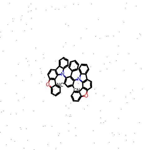 N#Cc1cc(C#N)c(-n2c3ccccc3c3ccc4oc5ccccc5c4c32)c(-c2ccccc2)c1-n1c2ccccc2c2ccc3oc4ccccc4c3c21